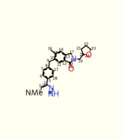 CN/C=C(\N=N)c1ccc(Cc2cc3c(cc2C)CN(CC2CCCO2)C3=O)cc1